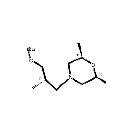 C[C@H](COC(C)(C)C)CN1C[C@@H](C)O[C@@H](C)C1